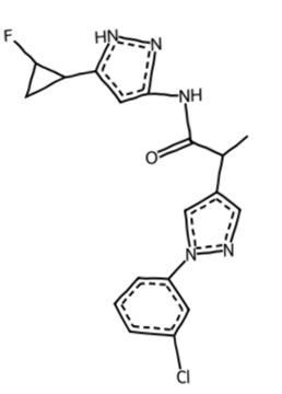 CC(C(=O)Nc1cc(C2CC2F)[nH]n1)c1cnn(-c2cccc(Cl)c2)c1